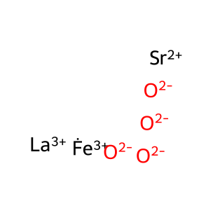 [Fe+3].[La+3].[O-2].[O-2].[O-2].[O-2].[Sr+2]